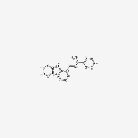 NC(/N=C/c1cccc2c1oc1ccccc12)c1ccccc1